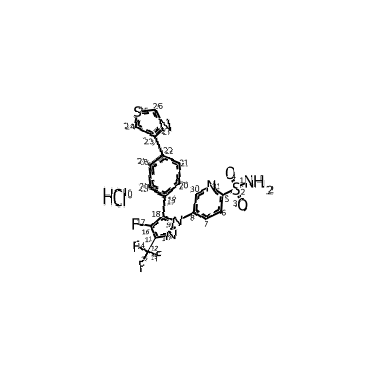 Cl.NS(=O)(=O)c1ccc(-n2nc(C(F)(F)F)c(F)c2-c2ccc(-c3cscn3)cc2)cn1